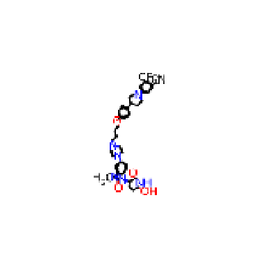 Cn1c(=O)n(C2CCC(O)NC2=O)c2ccc(N3CCN(CCCCOc4ccc(C5CCN(c6ccc(C#N)c(C(F)(F)F)c6)CC5)cc4)CC3)cc21